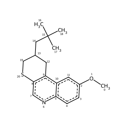 COc1ccc2ncc3c(c2c1)CC(CC(C)(C)C)CS3